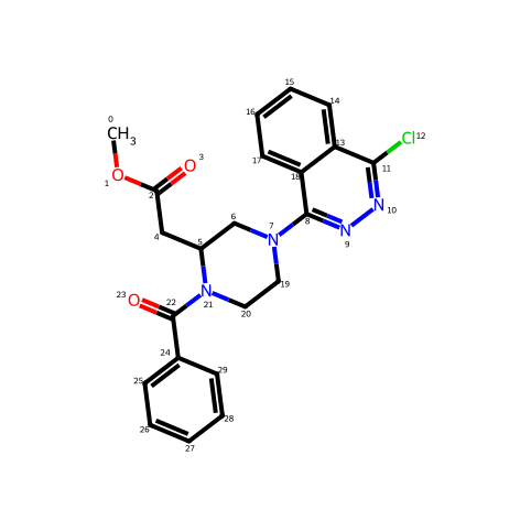 COC(=O)CC1CN(c2nnc(Cl)c3ccccc23)CCN1C(=O)c1ccccc1